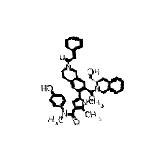 Cc1c(C(=O)N(C)c2ccc(O)cc2)cc(-c2cc3c(cc2C(=O)N2Cc4ccccc4C[C@H]2CO)CN(C(=O)Cc2ccccc2)CC3)n1C